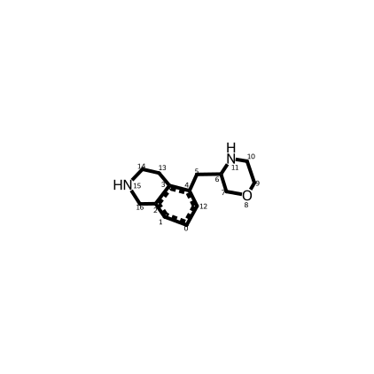 c1cc2c(c(CC3COCCN3)c1)CCNC2